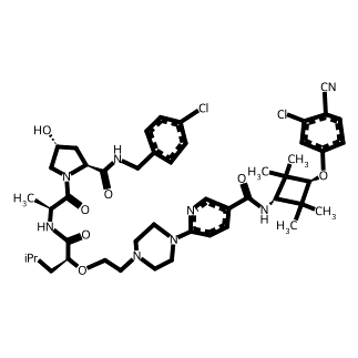 CC(C)C[C@H](OCCN1CCN(c2ccc(C(=O)N[C@H]3C(C)(C)[C@H](Oc4ccc(C#N)c(Cl)c4)C3(C)C)cn2)CC1)C(=O)N[C@@H](C)C(=O)N1C[C@H](O)C[C@H]1C(=O)NCc1ccc(Cl)cc1